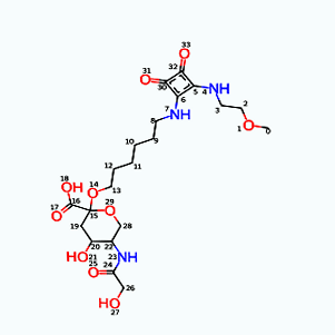 COCCNc1c(NCCCCCCOC2(C(=O)O)CC(O)C(NC(=O)CO)CO2)c(=O)c1=O